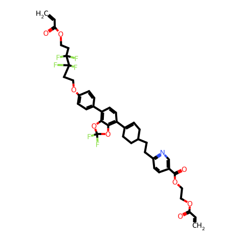 C=CC(=O)OCCOC(=O)c1ccc(CCC2CC=C(c3ccc(-c4ccc(OCCC(F)(F)C(F)(F)CCOC(=O)C=C)cc4)c4c3OC(F)(F)O4)CC2)nc1